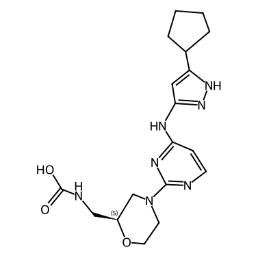 O=C(O)NC[C@H]1CN(c2nccc(Nc3cc(C4CCCC4)[nH]n3)n2)CCO1